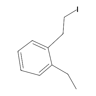 CCc1ccccc1CCI